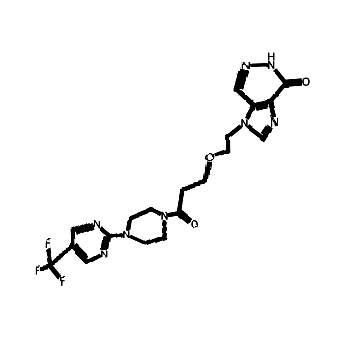 O=C(CCOCCn1cnc2c(=O)[nH]ncc21)N1CCN(c2ncc(C(F)(F)F)cn2)CC1